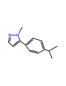 CC(C)c1ccc(-c2ccnn2C)cc1